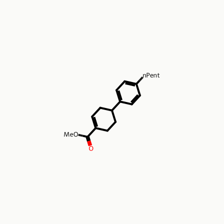 CCCCCc1ccc(C2CC=C(C(=O)OC)CC2)cc1